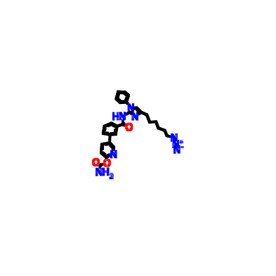 [N-]=[N+]=NCCCCCCc1cn(-c2ccccc2)c(NC(=O)c2cccc(-c3ccc(OC(N)=O)nc3)c2)n1